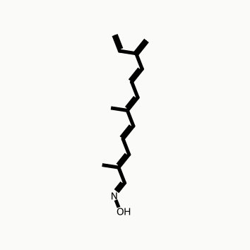 C=CC(=C)/C=C/C=C(C)/C=C/C=C(C)/C=N/O